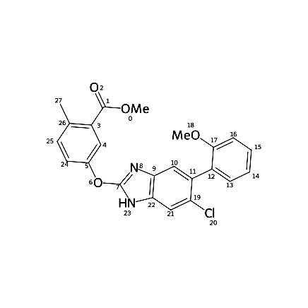 COC(=O)c1cc(Oc2nc3cc(-c4ccccc4OC)c(Cl)cc3[nH]2)ccc1C